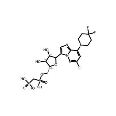 O=P(O)(O)CP(=O)(O)OC[C@H]1OC(c2cnc3c(N4CCC(F)(F)CC4)cc(Cl)nn23)[C@H](O)[C@@H]1O